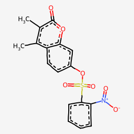 Cc1c(C)c2ccc(OS(=O)(=O)c3ccccc3[N+](=O)[O-])cc2oc1=O